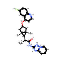 CC(C(=O)Nc1nc2ccccn2n1)[C@H]1[C@@H]2C[C@@H](Oc3ccnc4ccc(F)cc34)C[C@@H]21